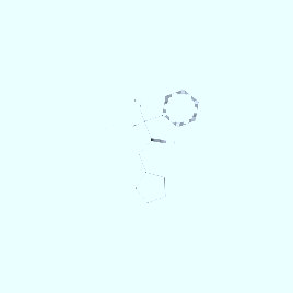 N[C@@](C(=O)O)(C(=O)CC1CCCC1)c1ccccc1